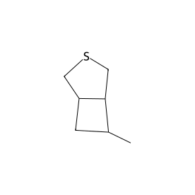 CC1CC2CSCC12